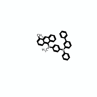 Cc1cccc2c(N(C)c3ccc(N(c4ccccc4)c4cccc(-c5ccccc5)c4)cc3)c3ccccc3cc12